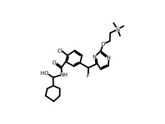 C[Si](C)(C)CCOc1nccc(C(F)c2ccc(Cl)c(C(=O)NC(O)C3CCCCC3)c2)n1